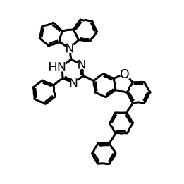 c1ccc(C2=NC(c3ccc4c(c3)oc3cccc(-c5ccc(-c6ccccc6)cc5)c34)=NC(n3c4ccccc4c4ccccc43)N2)cc1